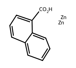 O=C(O)c1cccc2ccccc12.[Zn].[Zn]